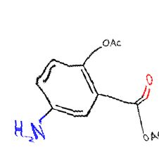 CC(=O)OC(=O)c1cc(N)ccc1OC(C)=O